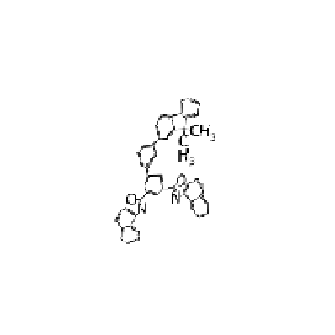 CC1(C)c2ccccc2-c2ccc(-c3cccc(-c4cc(-c5nc6c(ccc7ccccc76)o5)cc(-c5nc6c(ccc7ccccc76)o5)c4)c3)cc21